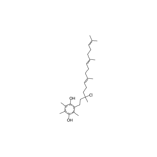 CC(C)=CCC/C(C)=C/CC/C(C)=C/CCC(C)(Cl)CCc1c(C)c(O)c(C)c(C)c1O